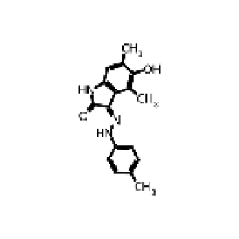 Cc1ccc(N/N=C2\C(=O)Nc3cc(C)c(O)c(C)c32)cc1